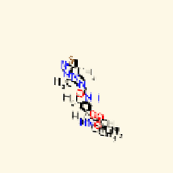 CNC(C)(Oc1ccc(C)c(NC(=O)CN2CC(C)N(c3ncnc4sccc34)C(C)C2)c1)C(=O)OC(C)(C)C